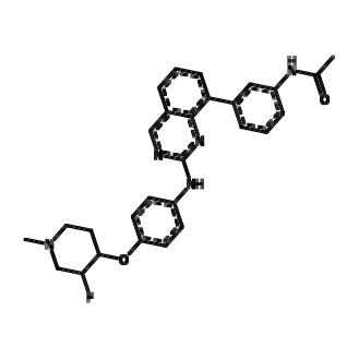 CC(=O)Nc1cccc(-c2cccc3cnc(Nc4ccc(OC5CCN(C)CC5F)cc4)nc23)c1